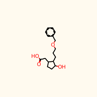 O=C(O)CC1CCC(O)C1CCCOCc1ccccc1